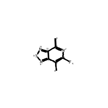 Cc1nc(F)c(C)c2nsnc12